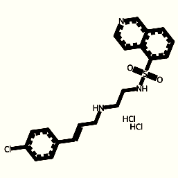 Cl.Cl.O=S(=O)(NCCNC/C=C/c1ccc(Cl)cc1)c1cccc2cnccc12